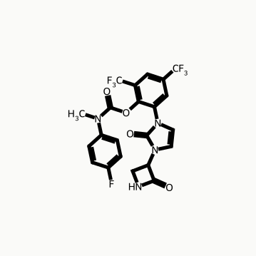 CN(C(=O)Oc1c(-n2ccn(C3CNC3=O)c2=O)cc(C(F)(F)F)cc1C(F)(F)F)c1ccc(F)cc1